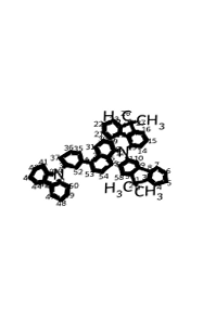 CC1(C)c2ccccc2-c2cc(N(c3cccc4c3-c3ccccc3C4(C)C)c3cccc4c(-c5cccc(-n6c7ccccc7c7ccccc76)c5)cccc34)ccc21